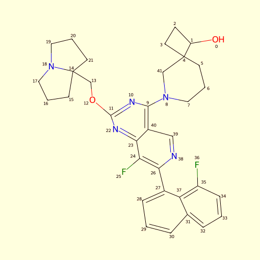 OC1CCC12CCCN(c1nc(OCC34CCCN3CCC4)nc3c(F)c(-c4cccc5cccc(F)c45)ncc13)C2